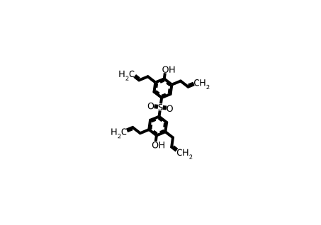 C=CCc1cc(S(=O)(=O)c2cc(CC=C)c(O)c(CC=C)c2)cc(CC=C)c1O